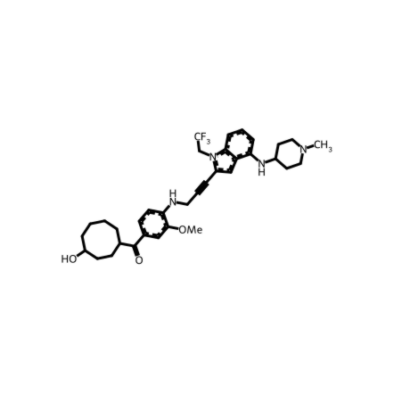 COc1cc(C(=O)C2CCCCC(O)CC2)ccc1NCC#Cc1cc2c(NC3CCN(C)CC3)cccc2n1CC(F)(F)F